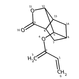 C=CC(=C)OC1C2CC3C(=O)OC1C3C2